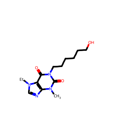 CCn1cnc2c1c(=O)n(CCCCCCO)c(=O)n2C